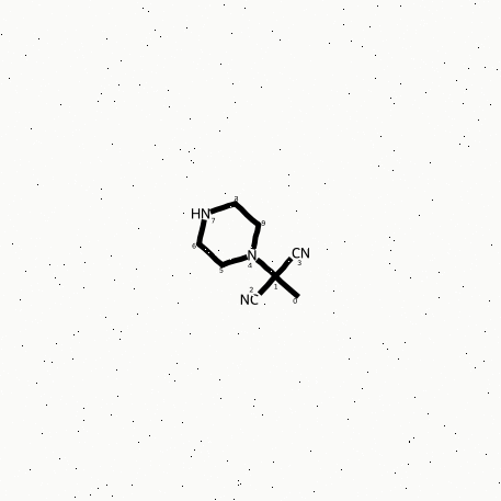 CC(C#N)(C#N)N1CCNCC1